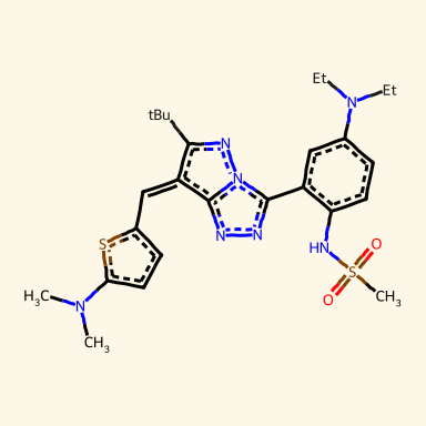 CCN(CC)c1ccc(NS(C)(=O)=O)c(-c2nnc3/c(=C\c4ccc(N(C)C)s4)c(C(C)(C)C)nn23)c1